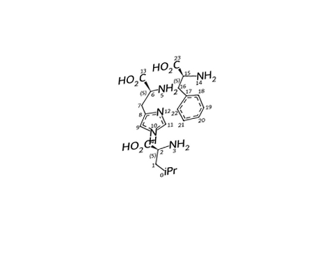 CC(C)C[C@H](N)C(=O)O.N[C@@H](Cc1c[nH]cn1)C(=O)O.N[C@@H](Cc1ccccc1)C(=O)O